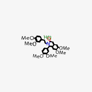 COc1ccc(CCn2c(-c3ccc(OC)c(OC)c3)c3cc(OC)c(OC)cc3cc2=O)cc1OC.Cl